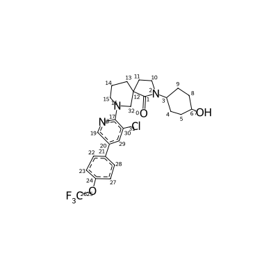 O=C1N(C2CCC(O)CC2)CCC12CCCN(c1ncc(-c3ccc(OC(F)(F)F)cc3)cc1Cl)C2